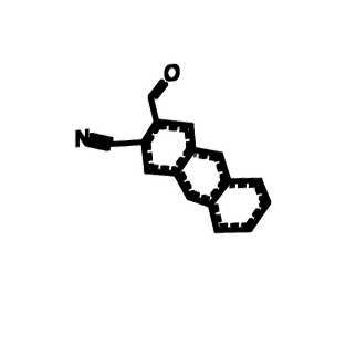 N#Cc1cc2cc3ccccc3cc2cc1C=O